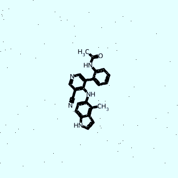 CC(=O)Nc1ccccc1-c1cncc(C#N)c1Nc1ccc2[nH]ccc2c1C